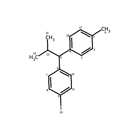 Cc1ccc(C(c2ccc(I)cc2)C(C)C)cc1